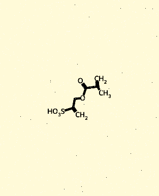 C=C(C)C(=O)OCC(=C)S(=O)(=O)O